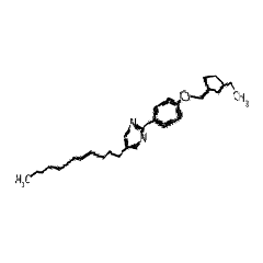 CCCCCCCCCCCc1cnc(-c2ccc(OCC3CCC(CC)C3)cc2)nc1